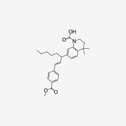 CCCCCC(C=Cc1ccc(C(=O)OC)cc1)c1ccc2c(c1)N(C(=O)O)CCC2(C)C